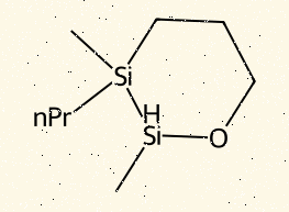 CCC[Si]1(C)CCCO[SiH]1C